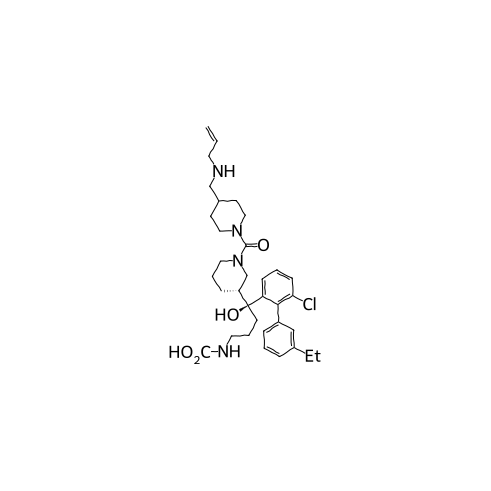 C=CCNCC1CCN(C(=O)N2CCC[C@@H]([C@@](O)(CCCNC(=O)O)c3cccc(Cl)c3-c3cccc(CC)c3)C2)CC1